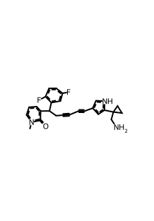 Cn1cccc(C(CC#CC#Cc2c[nH]c(C3(CN)CC3)c2)c2cc(F)ccc2F)c1=O